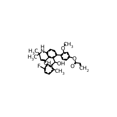 C=CC(=O)Oc1ccc(-c2ccc3c(c2C(O)c2cc(F)ccc2C)C(C)=CC(C)(C)N3)c(OC)c1